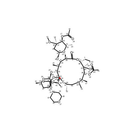 CC[C@H]1OC(=O)[C@H](C)[C@@H](O[C@H]2C[C@@](C)(OC)[C@@H](OC(C)=O)[C@H](C)O2)[C@H](C)[C@@H](O[C@@H]2O[C@H](C)C[C@@H](N3CCOCC3)[C@@H]2N(C)C)[C@@](C)(OC(C)=O)C[C@@H](C)CN(C)[C@H](C)[C@@H](OC(C)=O)[C@]1(C)O